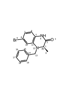 C[C@@H]1C(=O)Nc2ccc(Br)cc2N1Cc1ccccc1